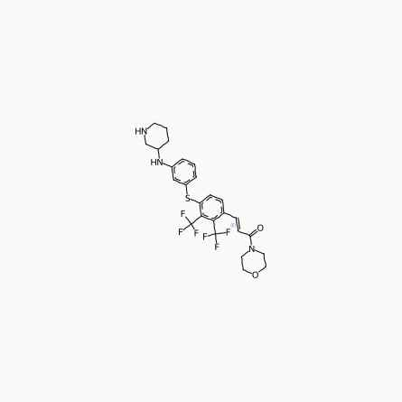 O=C(/C=C/c1ccc(Sc2cccc(NC3CCCNC3)c2)c(C(F)(F)F)c1C(F)(F)F)N1CCOCC1